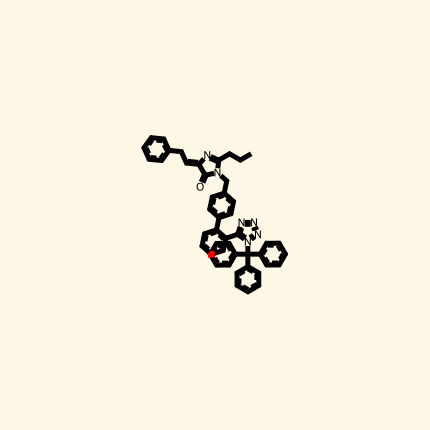 CCCC1=NC(=CCc2ccccc2)C(=O)N1Cc1ccc(-c2ccccc2-c2nnnn2C(c2ccccc2)(c2ccccc2)c2ccccc2)cc1